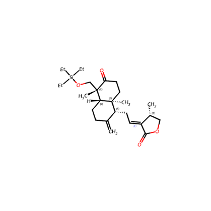 C=C1CC[C@H]2[C@@](C)(CCC(=O)[C@@]2(C)CO[Si](CC)(CC)CC)[C@@H]1C/C=C1/C(=O)OC[C@H]1C